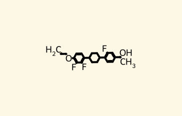 C=CCOc1ccc(C2CCC(c3ccc(C(C)O)cc3F)CC2)c(F)c1F